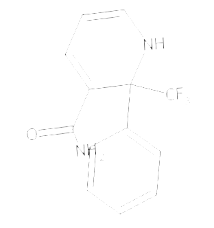 NC(=O)C1=CC=CNC1(c1ccccc1)C(F)(F)F